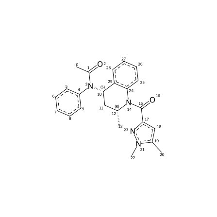 CC(=O)N(c1ccccc1)[C@H]1C[C@@H](C)N(C(=O)c2cc(C)n(C)n2)c2ccccc21